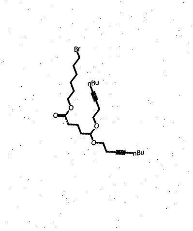 CCCCC#CCCOC(CCCC(=O)OCCCCCCBr)OCCC#CCCCC